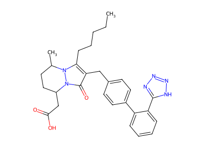 CCCCCc1c(Cc2ccc(-c3ccccc3-c3nnn[nH]3)cc2)c(=O)n2n1C(C)CCC2CC(=O)O